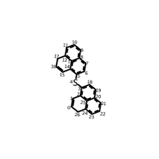 C1=Cc2c(Sc3ccc4cccc5c4c3C=CC5)ccc3cccc(c23)C1